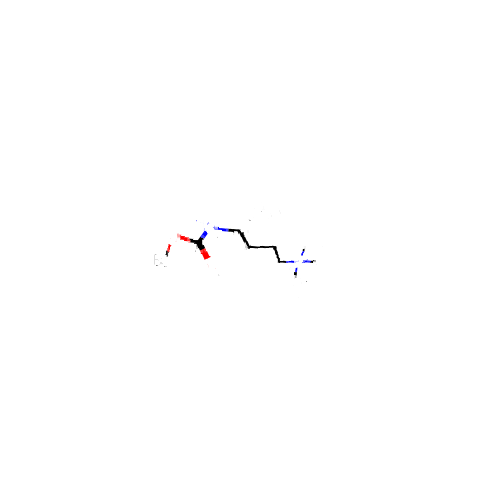 CC(C)(C)OC(=O)N[C@@H](CCC[N+](C)(C)C)C(=O)O